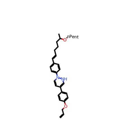 C=CCOc1ccc(C2=CNN(c3ccc(C=CCCCC(C)OCCCCC)cc3)C=C2)cc1